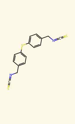 S=C=NCc1ccc(Sc2ccc(CN=C=S)cc2)cc1